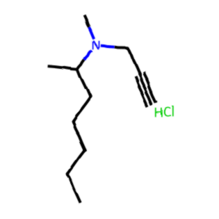 C#CCN(C)C(C)CCCCC.Cl